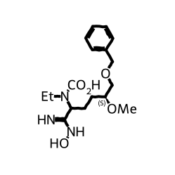 CCN(C(=O)O)C(CC[C@@H](COCc1ccccc1)OC)C(=N)NO